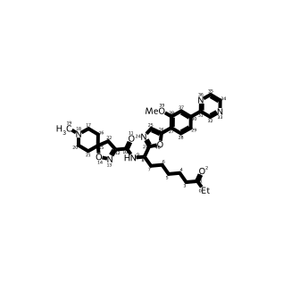 CCC(=O)CCCCCC(NC(=O)C1=NOC2(CCN(C)CC2)C1)c1ncc(-c2ccc(-c3cnccn3)cc2OC)o1